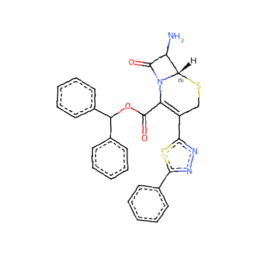 NC1C(=O)N2C(C(=O)OC(c3ccccc3)c3ccccc3)=C(c3nnc(-c4ccccc4)s3)CS[C@@H]12